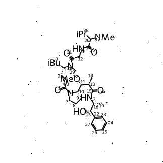 CC[C@H](C)[C@@H](CCC(=O)N1CCC[C@H]1[C@H](OC)[C@@H](C)C(=O)N[C@H](C)[C@@H](O)c1ccccc1)N(C)C(=O)CNC(=O)C(NC)C(C)C